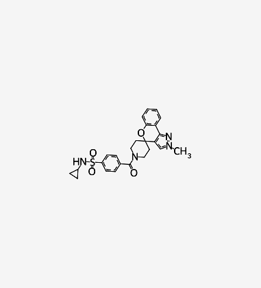 Cn1cc2c(n1)-c1ccccc1OC21CCN(C(=O)c2ccc(S(=O)(=O)NC3CC3)cc2)CC1